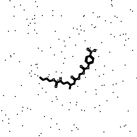 CCCCOC(=O)NCCC(C)CC(=O)OCOC(=O)Oc1ccc([N+](=O)[O-])cc1